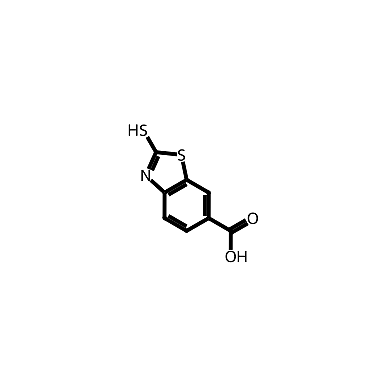 O=C(O)c1ccc2nc(S)sc2c1